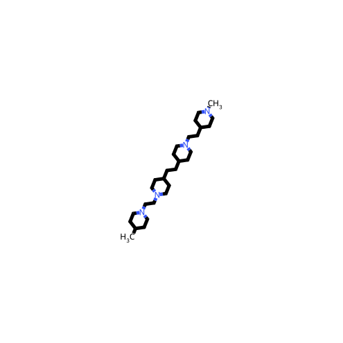 CC1CCN(CCN2CCC(CCC3CCN(CCC4CCN(C)CC4)CC3)CC2)CC1